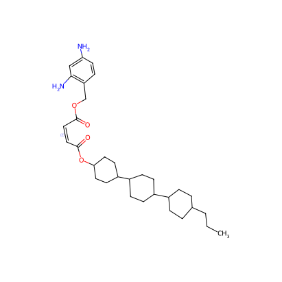 CCCC1CCC(C2CCC(C3CCC(OC(=O)/C=C\C(=O)OCc4ccc(N)cc4N)CC3)CC2)CC1